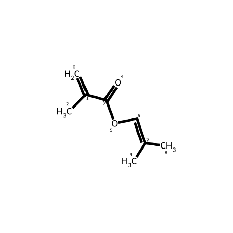 C=C(C)C(=O)OC=C(C)C